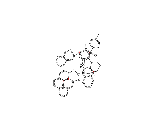 Cc1ccc(S(=O)(=O)N(CC2(C)CCCC(N(P(Oc3ccc4ccccc4c3)Oc3ccc4ccccc4c3)S(=O)(=O)c3ccc(C)cc3)C2)P(Oc2ccc3ccccc3c2)Oc2ccc3ccccc3c2)cc1